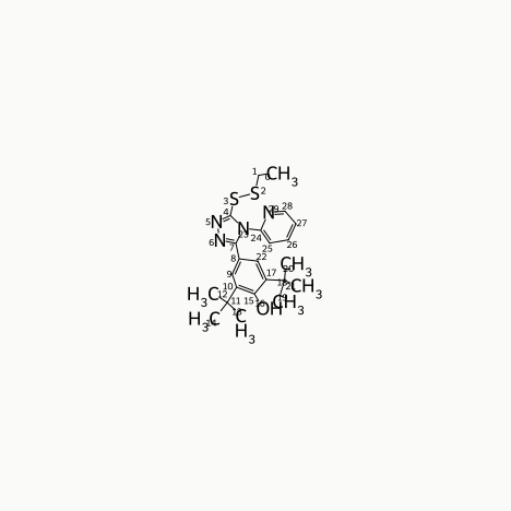 CCSSc1nnc(-c2cc(C(C)(C)C)c(O)c(C(C)(C)C)c2)n1-c1ccccn1